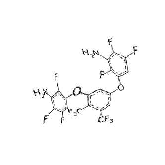 Nc1c(F)c(F)cc(Oc2cc(Oc3cc(F)c(F)c(N)c3F)c(C(F)(F)F)c(C(F)(F)F)c2)c1F